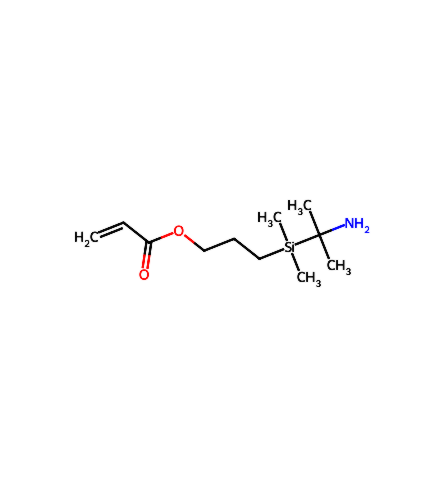 C=CC(=O)OCCC[Si](C)(C)C(C)(C)N